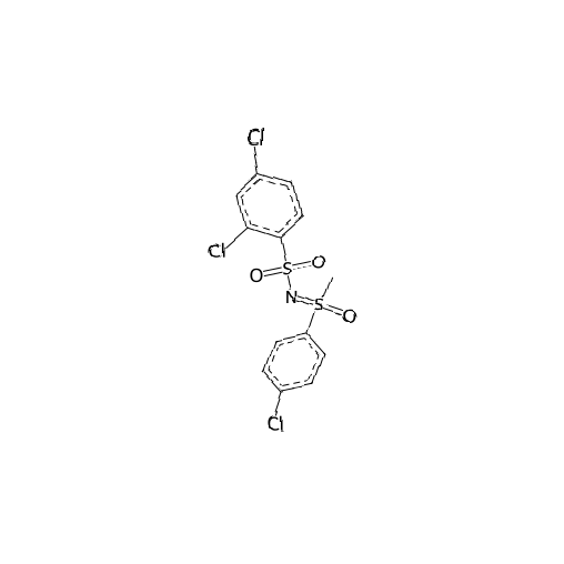 CS(=O)(=NS(=O)(=O)c1ccc(Cl)cc1Cl)c1ccc(Cl)cc1